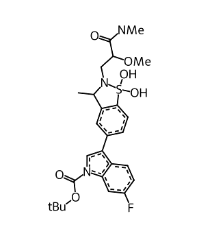 CNC(=O)C(CN1C(C)c2cc(-c3cn(C(=O)OC(C)(C)C)c4cc(F)ccc34)ccc2S1(O)O)OC